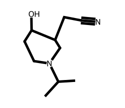 CC(C)N1CCC(O)C(CC#N)C1